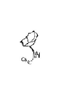 O=CNC1C2CC3CC(C2)CC1C3